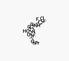 CCCOC[C@@H](C)N1C(=O)c2c(O)c(=O)c(C(=O)NCc3ccc(F)c(Cl)c3F)cn2C[C@@H]1C